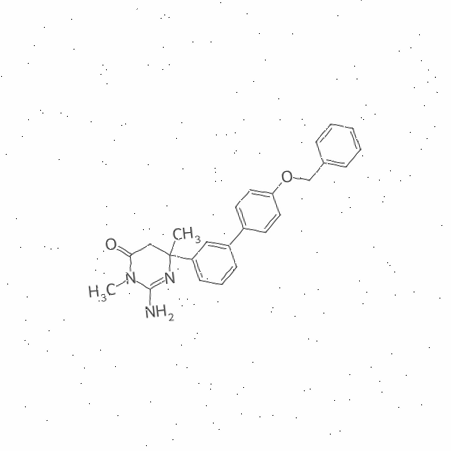 CN1C(=O)CC(C)(c2cccc(-c3ccc(OCc4ccccc4)cc3)c2)N=C1N